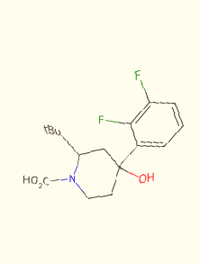 CC(C)(C)C1CC(O)(c2cccc(F)c2F)CCN1C(=O)O